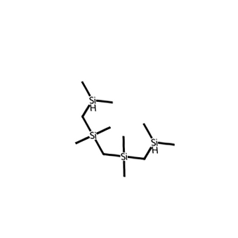 C[SiH](C)C[Si](C)(C)C[Si](C)(C)C[SiH](C)C